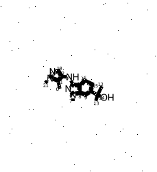 Cc1c(Nc2nn(C)c3cc(C(C)(C)O)ccc23)cnn1C